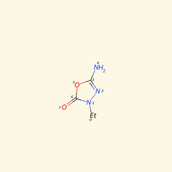 CCn1nc(N)oc1=O